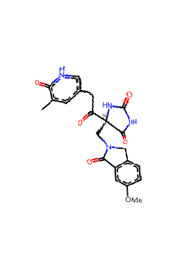 COc1ccc2c(c1)C(=O)N(C[C@@]1(C(=O)Cc3c[nH]c(=O)c(C)c3)NC(=O)NC1=O)C2